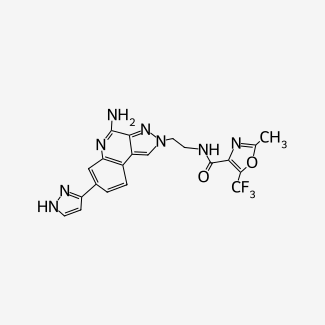 Cc1nc(C(=O)NCCn2cc3c(n2)c(N)nc2cc(-c4cc[nH]n4)ccc23)c(C(F)(F)F)o1